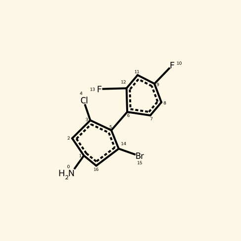 Nc1cc(Cl)c(-c2ccc(F)cc2F)c(Br)c1